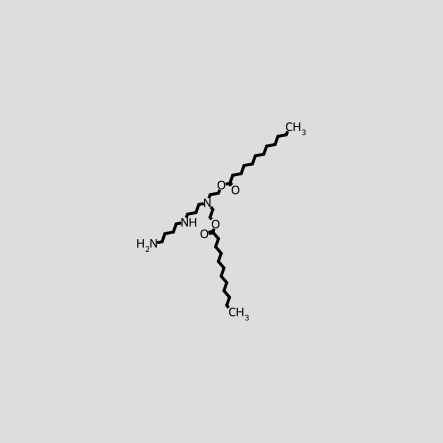 CCCCCCCCCCCC(=O)OCCN(CCCNCCCCN)CCOC(=O)CCCCCCCCCCC